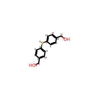 OCc1ccc(Sc2ccc(CO)cc2)cc1